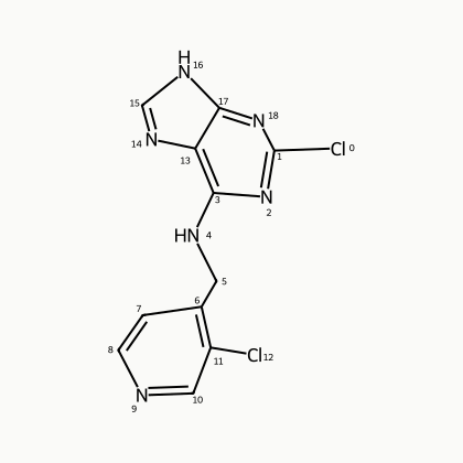 Clc1nc(NCc2ccncc2Cl)c2nc[nH]c2n1